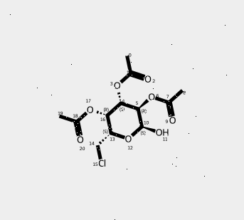 CC(=O)O[C@@H]1[C@@H](OC(C)=O)[C@@H](O)O[C@H](CCl)[C@@H]1OC(C)=O